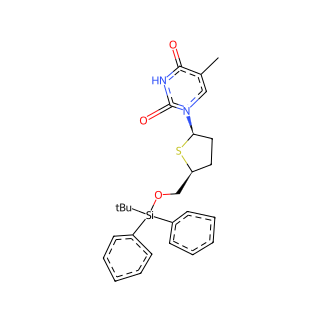 Cc1cn([C@H]2CC[C@@H](CO[Si](c3ccccc3)(c3ccccc3)C(C)(C)C)S2)c(=O)[nH]c1=O